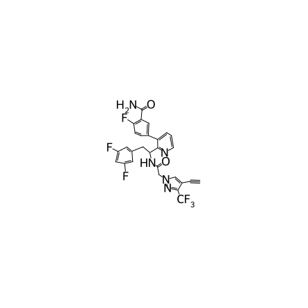 C#Cc1cn(CC(=O)NC(Cc2cc(F)cc(F)c2)c2ncccc2-c2ccc(F)c(C(N)=O)c2)nc1C(F)(F)F